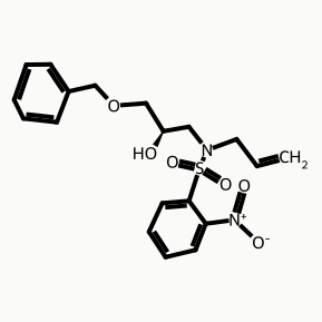 C=CCN(C[C@@H](O)COCc1ccccc1)S(=O)(=O)c1ccccc1[N+](=O)[O-]